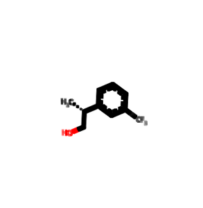 C[C@@H](CO)c1cccc(C(F)(F)F)c1